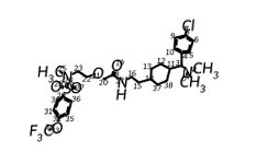 CN(C)C(c1ccc(Cl)cc1)C1CCC(CCNC(=O)COCCN(C)S(=O)(=O)c2ccc(OC(F)(F)F)cc2)CC1